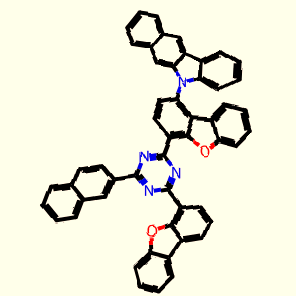 c1ccc2cc(-c3nc(-c4cccc5c4oc4ccccc45)nc(-c4ccc(-n5c6ccccc6c6cc7ccccc7cc65)c5c4oc4ccccc45)n3)ccc2c1